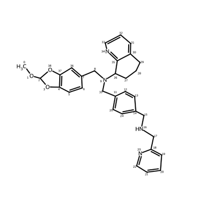 COC1Oc2ccc(CN(Cc3ccc(CNCc4ccccn4)cc3)C3CCCc4cccnc43)cc2O1